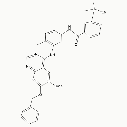 COc1cc2c(Nc3cc(NC(=O)c4cccc(C(C)(C)C#N)c4)ccc3C)ncnc2cc1OCc1ccccc1